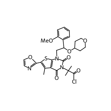 COc1ccccc1C(Cn1c(=O)n(C(C)(C)C(=O)Cl)c(=O)c2c(C)c(-c3ncco3)sc21)OC1CCOCC1